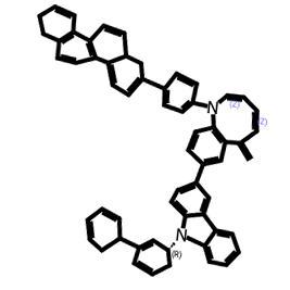 C=C1/C=C\C=C/N(c2ccc(C3=CC=C4c5ccc6c(c5C=CC4C3)C=CCC6)cc2)c2ccc(-c3ccc4c(c3)c3ccccc3n4[C@H]3C=C(C4C=CC=CC4)C=CC3)cc21